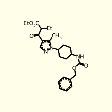 CCOC(=O)C(CC)C(=O)c1cnn(C2CCC(NC(=O)OCc3ccccc3)CC2)c1C